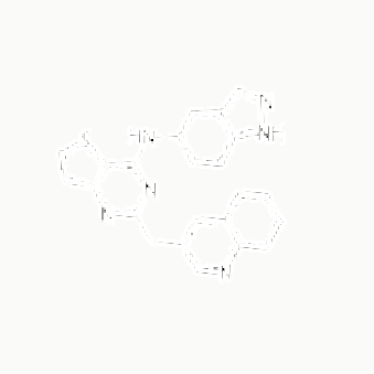 c1ccc2ncc(Cc3nc(Nc4ccc5[nH]ncc5c4)c4sccc4n3)cc2c1